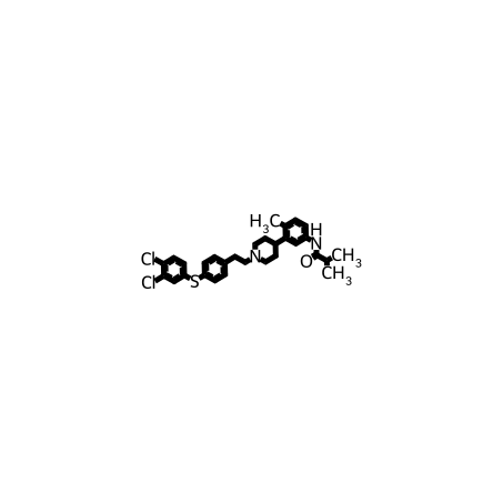 Cc1ccc(NC(=O)C(C)C)cc1C1CCN(CCc2ccc(Sc3ccc(Cl)c(Cl)c3)cc2)CC1